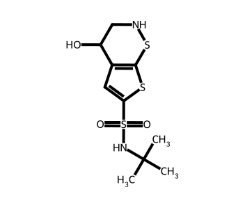 CC(C)(C)NS(=O)(=O)c1cc2c(s1)SNCC2O